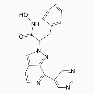 O=C(NO)C(Cc1ccccc1)n1cc2ccnc(-c3cncnc3)c2n1